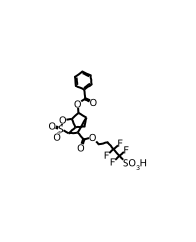 O=C(OC1C2CC3C1OS(=O)(=O)C3C2C(=O)OCCC(F)(F)C(F)(F)S(=O)(=O)O)c1ccccc1